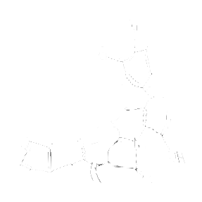 O=C(Cc1ccccc1)N[C@@H]1C(=O)N2C(C(=O)O)=C(Sc3ccc(Cl)c(Cl)c3)CS[C@H]12